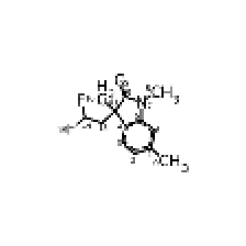 Cc1ccc2c(c1)N(C)C(=O)C2(C)CC(F)F